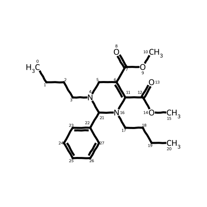 CCCCN1CC(C(=O)OC)=C(C(=O)OC)N(CCCC)C1c1ccccc1